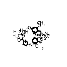 COc1ccc(CN(c2ncns2)S(=O)(=O)c2c(F)cc(N[C@H]3CCN(C(=O)OC(C)(C)C)C3)c(C)c2F)c(OC)c1